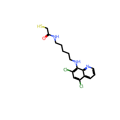 O=C(CS)NCCCCCNc1c(Cl)cc(Cl)c2cccnc12